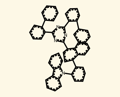 c1ccc(-c2ccccc2-c2nc(-c3ccccc3-c3ccccc3)nc(-c3ccc(-c4ccccc4-n4c5ccccc5c5ccccc54)c4ccccc34)n2)cc1